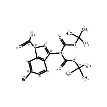 CC(C)(C)OC(=O)N(C(=O)OC(C)(C)C)c1nn(C(=O)O)c2cc(Br)ccc12